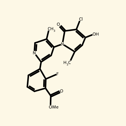 COC(=O)c1cccc(-c2cc(-n3c(C)cc(O)c(Cl)c3=O)c(C)cn2)c1F